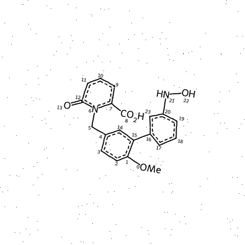 COc1ccc(Cn2c(C(=O)O)cccc2=O)cc1-c1cccc(NO)c1